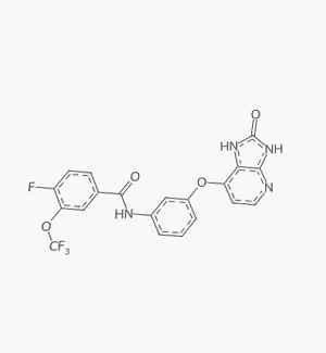 O=C(Nc1cccc(Oc2ccnc3[nH]c(=O)[nH]c23)c1)c1ccc(F)c(OC(F)(F)F)c1